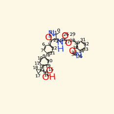 Cc1noc(-c2ccc(-c3ccc(C4(C(=O)O)CC4)cc3)cc2)c1NC(=O)O[C@H](C)c1cccc2ncoc12